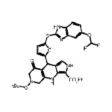 CCOC(=O)c1[nH]cc2c1NC1=C(C(=O)CN(OC(C)(C)C)C1)C2c1ccc(Sc2nc3cc(OC(F)F)ccc3[nH]2)o1